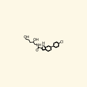 O=C(NCC(O)CCCO)c1cc2ccc(-c3ccc(Cl)cc3)cc2[nH]1